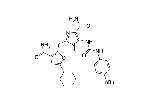 CCCCc1ccc(NC(=O)Nc2[nH]c(Cc3oc(C4CCCCC4)cc3C(N)=O)nc2C(N)=O)cc1